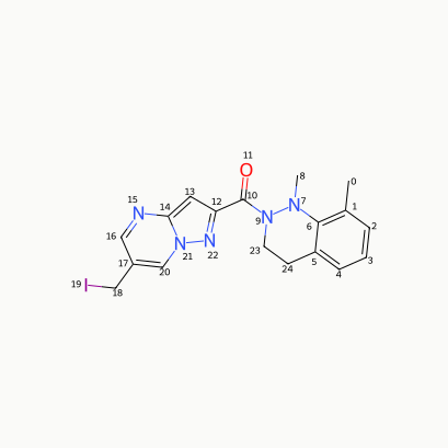 Cc1cccc2c1N(C)N(C(=O)c1cc3ncc(CI)cn3n1)CC2